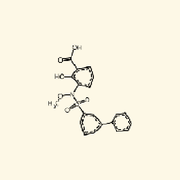 CON(c1cccc(C(=O)O)c1O)S(=O)(=O)c1cccc(-c2ccccc2)c1